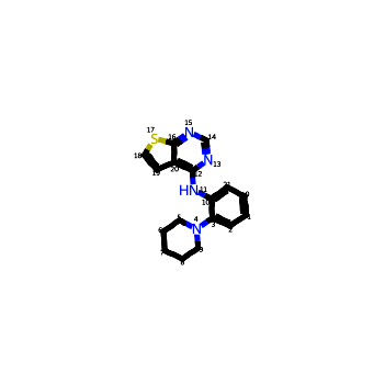 c1ccc(N2CCCCC2)c(Nc2ncnc3sccc23)c1